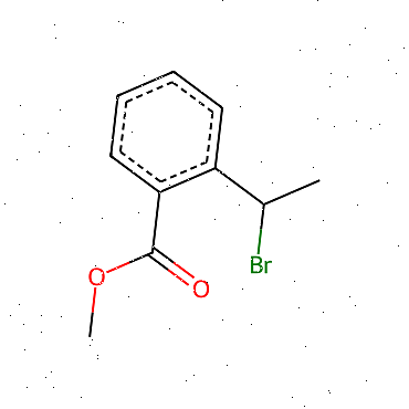 COC(=O)c1ccccc1C(C)Br